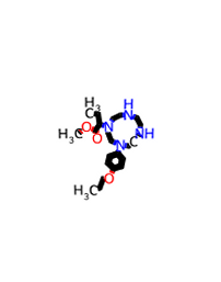 CCCOc1ccc(N2CCNCCNCCN(C(CC)C(=O)OC)CC2)cc1